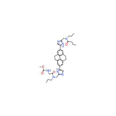 CCCC(=O)N(CCC)Cc1ncc(-c2cc3c4c(c2)CCc2cc(-c5cnc(CN(CCC)C(=O)CNC(=O)OC)[nH]5)cc(c2-4)CC3)[nH]1